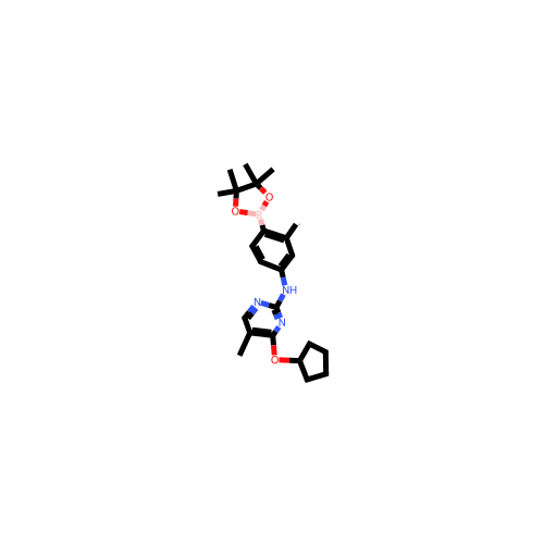 [CH2]c1cc(Nc2ncc(C)c(OC3CCCC3)n2)ccc1B1OC(C)(C)C(C)(C)O1